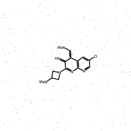 CN/C=C1\C(=N)C(N2CC(NC)C2)=Nc2ncc(Cl)cc21